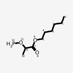 CCCCCCOC(=O)C(C)OP